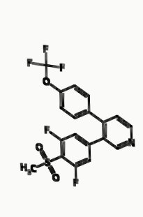 CS(=O)(=O)c1c(F)cc(-c2cnccc2-c2ccc(OC(F)(F)F)cc2)cc1F